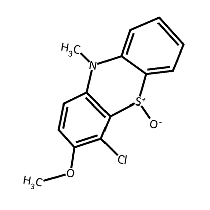 COc1ccc2c(c1Cl)[S+]([O-])c1ccccc1N2C